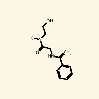 C=C(NCC(=O)N(C)CCO)c1ccccc1